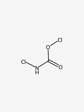 O=C(NCl)OCl